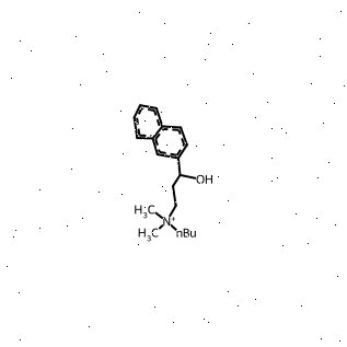 CCCC[N+](C)(C)CCC(O)c1ccc2ccccc2c1